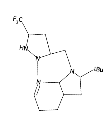 CN1NC(C(F)(F)F)CC1CN1C2N=CCCC2CC1C(C)(C)C